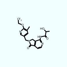 Cc1cc(CN2Cc3c(ccnc3NC(=O)C(C)O)C2=O)cnc1OCC(F)(F)F